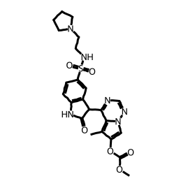 COC(=O)Oc1cn2ncnc(C3C(=O)Nc4ccc(S(=O)(=O)NCCN5CCCC5)cc43)c2c1C